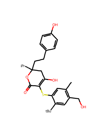 Cc1cc(SC2=C(O)CC(CCc3ccc(O)cc3)(C(C)C)OC2=O)c(C(C)(C)C)cc1CO